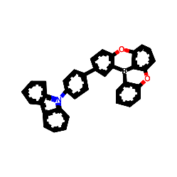 c1ccc2c(c1)Oc1cccc3c1B2c1cc(-c2ccc(-n4c5ccccc5c5ccccc54)cc2)ccc1O3